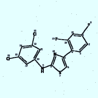 Fc1ccc(-c2csc(Nc3cc(Cl)cc(Cl)c3)n2)c(F)c1